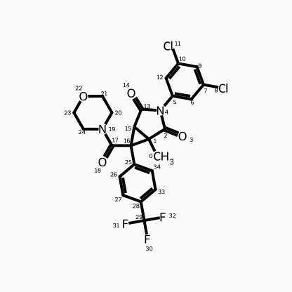 CC12C(=O)N(c3cc(Cl)cc(Cl)c3)C(=O)C1C2(C(=O)N1CCOCC1)c1ccc(C(F)(F)F)cc1